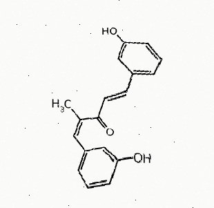 CC(=Cc1cccc(O)c1)C(=O)C=Cc1cccc(O)c1